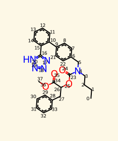 CCCCN(Cc1ccc(-c2ccccc2-c2nnn[nH]2)cc1)C(=O)OC(Cc1ccccc1)C(=O)OC